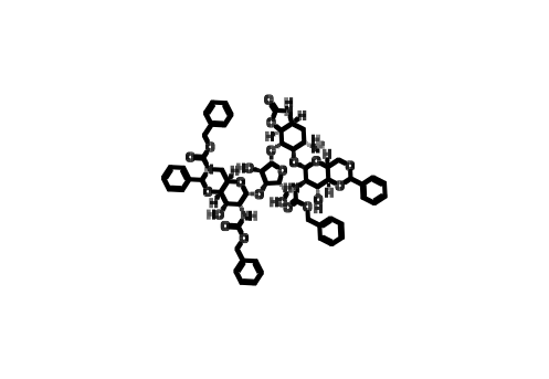 N[C@H]1C[C@H]2NC(=O)O[C@@H]2[C@@H](O[C@@H]2O[C@H](CO)[C@@H](O[C@H]3O[C@H]4CN(C(=O)OCc5ccccc5)C(c5ccccc5)O[C@H]4[C@H](O)[C@H]3NC(=O)OCc3ccccc3)[C@H]2O)[C@@H]1O[C@H]1O[C@@H]2COC(c3ccccc3)O[C@H]2[C@H](O)[C@H]1NC(=O)OCc1ccccc1